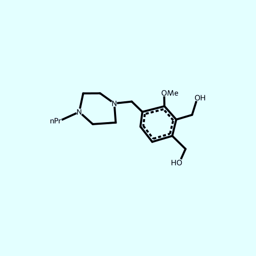 CCCN1CCN(Cc2ccc(CO)c(CO)c2OC)CC1